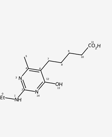 CCNc1nc(C)c(CCCCC(=O)O)c(O)n1